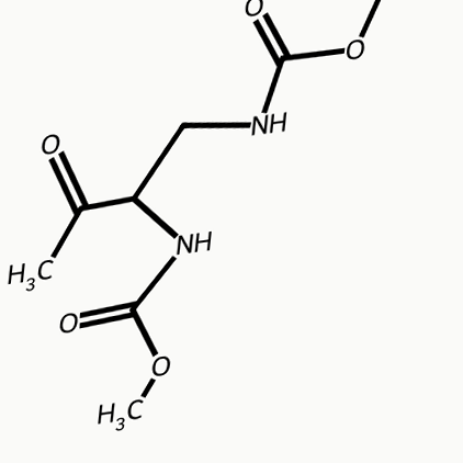 COC(=O)NCC(NC(=O)OC)C(C)=O